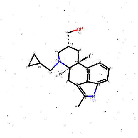 Cc1[nH]c2cccc3c2c1C[C@@H]1[C@@H]3C[C@@H](CO)CN1CC1CC1